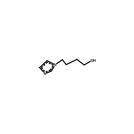 OCCCCn1c[c]nc1